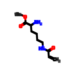 C=CC(=O)NCCCCC(N)C(=O)OC(C)(C)C